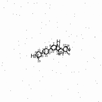 Cc1cc(-c2[nH]c3ccc(C4CCN(C5CCNC(C)C5)CC4)cc3c2C(C)C)ccn1